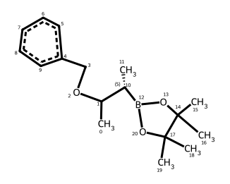 CC(OCc1ccccc1)[C@H](C)B1OC(C)(C)C(C)(C)O1